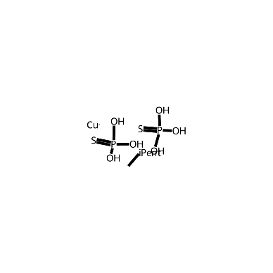 CCCC(C)C.OP(O)(O)=S.OP(O)(O)=S.[Cu]